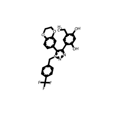 CCc1cc(-c2nnn(Cc3ccc(C(F)(F)F)cc3)c2-c2ccc3c(c2)OCCO3)c(O)cc1O